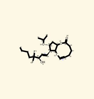 CCCCC(F)(F)[C@H](O)/C=C/[C@@H]1C2C/C=C\CCCC(=O)OC2C[C@H]1OC(C)C